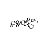 Cc1c(C(=O)N2CCN(C(=O)Oc3cccnc3)CC2)[nH]c2ccccc12